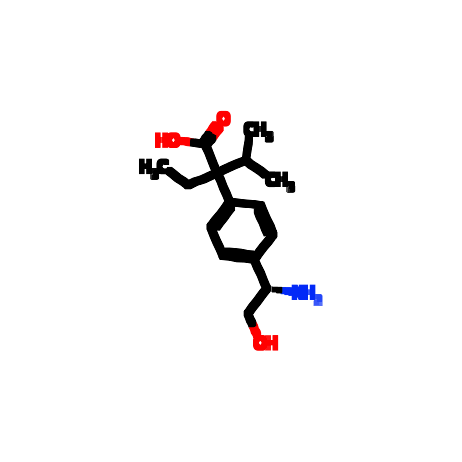 CCC(C(=O)O)(c1ccc([C@H](N)CO)cc1)C(C)C